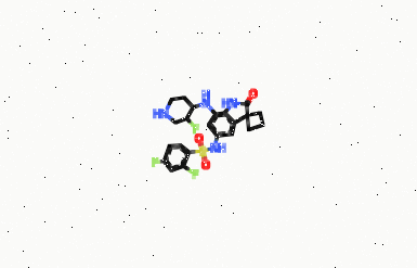 O=C1Nc2c(NC3CCNCC3F)cc(NS(=O)(=O)c3ccc(F)cc3F)cc2C12CCC2